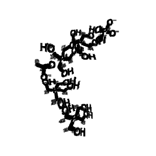 CC(=O)[O-].O=P([O-])([O-])[O-].OC[P+](CO)(CO)CO.OC[P+](CO)(CO)CO.OC[P+](CO)(CO)CO.OC[P+](CO)(CO)CO